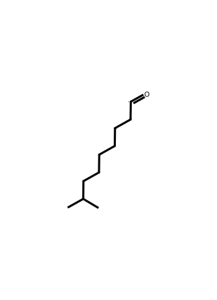 CC(C)CCCCCC[C]=O